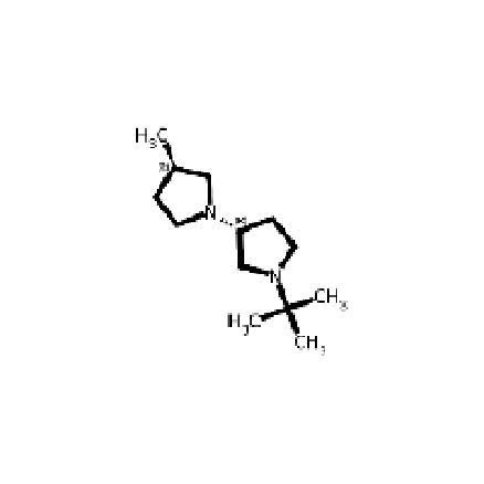 C[C@@H]1CCN([C@@H]2CCN(C(C)(C)C)C2)C1